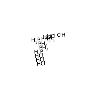 Cl.Cl.Cl.Cl.Cl.Cl.P.P.P.P.P.P